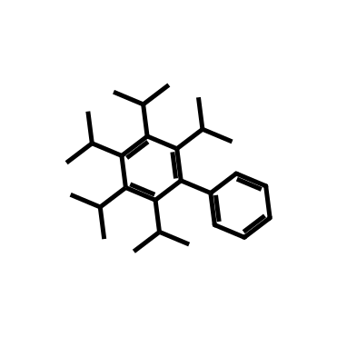 CC(C)c1c(-c2ccccc2)c(C(C)C)c(C(C)C)c(C(C)C)c1C(C)C